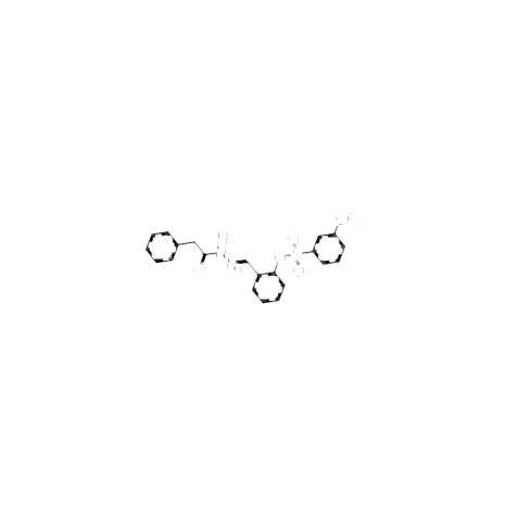 O=C(Cc1ccccc1)N/N=C/c1ccccc1OS(=O)(=O)c1cccc(C(F)(F)F)c1